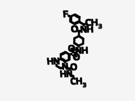 CCNC(=O)N1CCNc2ccc(S(=O)(=O)NC3CCC(C(=O)NC(C)c4ccc(F)cc4)CC3)cc21